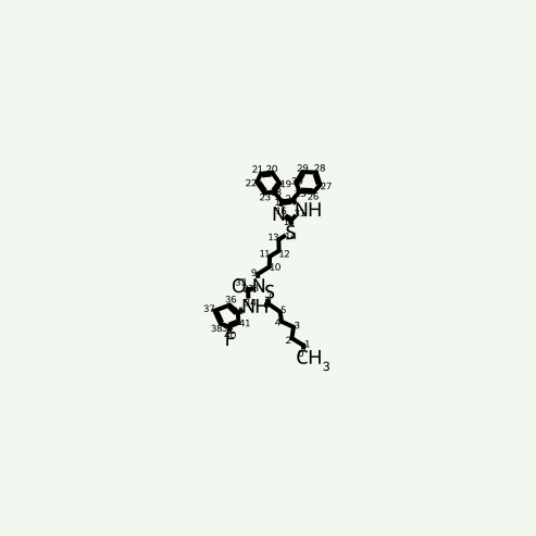 CCCCCCCSN(CCCCCSc1nc(-c2ccccc2)c(-c2ccccc2)[nH]1)C(=O)Nc1cccc(F)c1